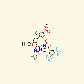 COC(=O)c1ccc(-c2ccc(OC)c(-c3cnc(SC)nc3CN3C(=O)O[C@H](c4cc(C(F)(F)F)cc(C(F)(F)F)c4)C34CCC4)c2)c(C)c1